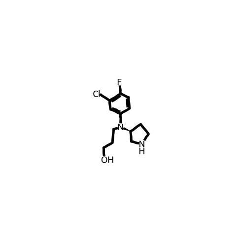 OCCCN(c1ccc(F)c(Cl)c1)[C@H]1CCNC1